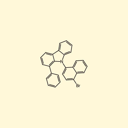 Brc1ccc(-n2c3ccccc3c3cccc(-c4ccccc4)c32)c2ccccc12